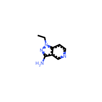 CCn1nc(N)c2cnccc21